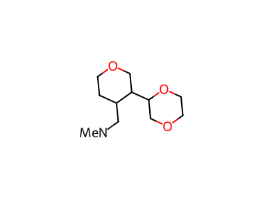 CNCC1CCOCC1C1COCCO1